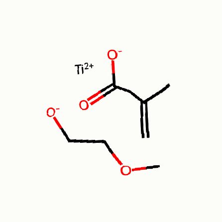 C=C(C)C(=O)[O-].COCC[O-].[Ti+2]